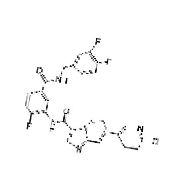 O=C(NCc1ccc(F)c(F)c1)c1ccc(F)c(NC(=O)c2cnc3cc(-c4ccc(Cl)nc4)ccn23)c1